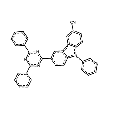 N#Cc1ccc2c(c1)c1cc(-c3nc(-c4ccccc4)nc(-c4ccccc4)n3)ccc1n2-c1cccnc1